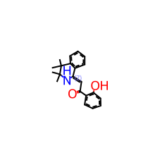 CC1(C)N/C(=C\C(=O)c2ccccc2O)c2ccccc2C1(C)C